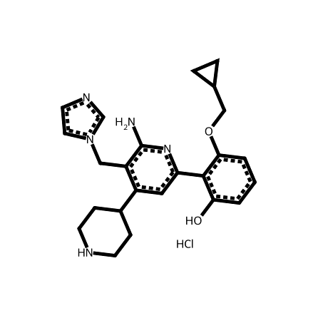 Cl.Nc1nc(-c2c(O)cccc2OCC2CC2)cc(C2CCNCC2)c1Cn1ccnc1